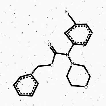 O=C(OCc1ccccc1)N(c1cccc(F)c1)N1CCOCC1